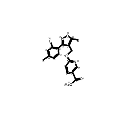 COC(=O)c1ccc(OCc2c(-c3ccc(C)cc3F)noc2C)nc1